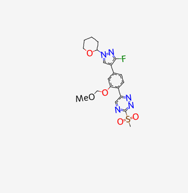 COCOc1cc(-c2cn(C3CCCCO3)nc2F)ccc1-c1cnc(S(C)(=O)=O)nn1